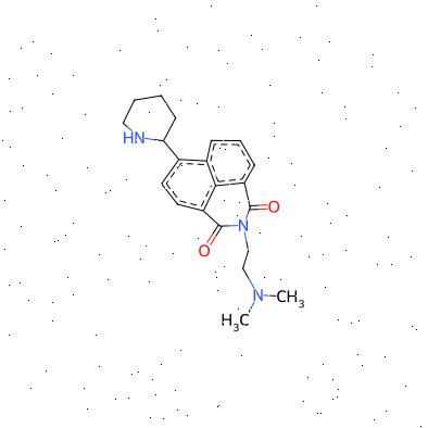 CN(C)CCN1C(=O)c2cccc3c(C4CCCCN4)ccc(c23)C1=O